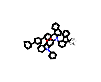 CC1(C)c2ccccc2-c2c(N(c3ccc4c5c(n(-c6ccccc6)c4c3)CCC=C5)c3ccc4ccccc4c3-c3ccc(C4C=CC(c5ccccc5)=CC4)cc3)cccc21